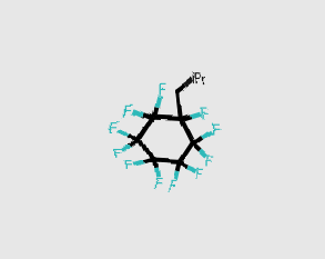 CC(C)CC1(F)C(F)(F)C(F)(F)C(F)(F)C(F)(F)C1(F)F